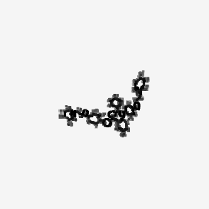 c1ccc(C(Oc2ccc(OCCN3CCCCC3)cc2)OC(Oc2ccc(OCCN3CCCCC3)cc2)c2ccccc2)cc1